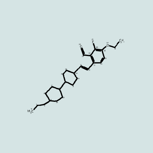 CCCC1CCC(C2CCC(C=Cc3ccc(OCC)c(F)c3C=O)CC2)CC1